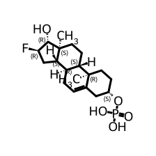 C[C@]12CC[C@H]3[C@@H](CC=C4C[C@@H](OP(=O)(O)O)CC[C@@]43C)[C@@H]1C[C@@H](F)[C@@H]2O